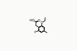 CCOc1cc(C)cc(F)c1CC(=O)O